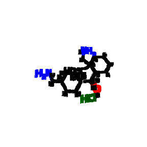 Cl.NCC1(C(=O)O)CCCCC1C(=O)[C@H]1CC[C@H](CN)CC1